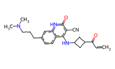 C=CC(=O)C1CC(Nc2c(C#N)c(=O)[nH]c3cc(CCCN(C)C)ccc23)C1